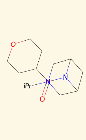 CC(C)N1CC2CC(C1)N2C(=O)C1CCOCC1